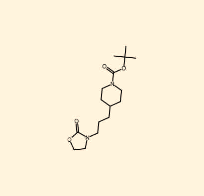 CC(C)(C)OC(=O)N1CCC(CCCN2CCOC2=O)CC1